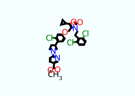 COC(=O)c1ccc(N2CCC(c3ccc(OCc4c(C5CC5)oc(=O)n4CCc4c(Cl)cccc4Cl)cc3Cl)C2)nc1